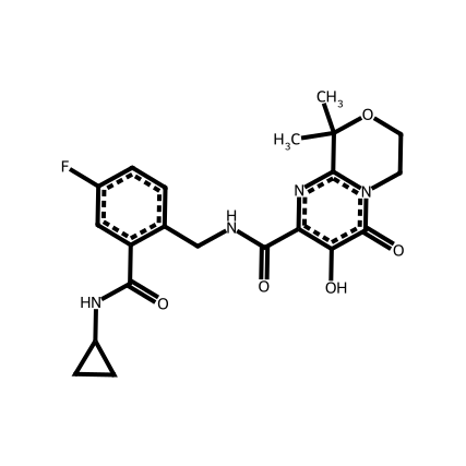 CC1(C)OCCn2c1nc(C(=O)NCc1ccc(F)cc1C(=O)NC1CC1)c(O)c2=O